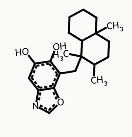 CC1CCC2(C)CCCCC2C1(C)Cc1c(O)c(O)cc2ncoc12